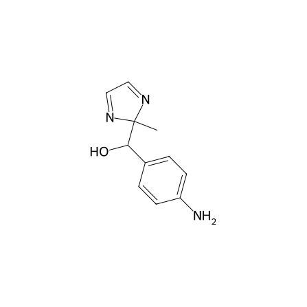 CC1(C(O)c2ccc(N)cc2)N=CC=N1